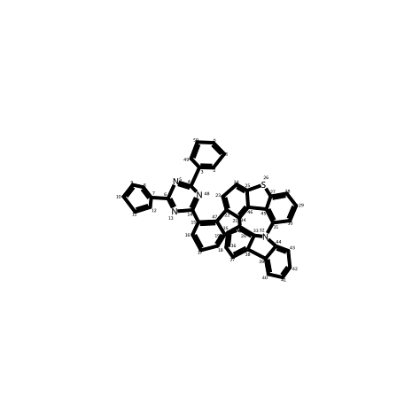 c1ccc(-c2nc(-c3ccccc3)nc(-c3cccc4oc5c(ccc6sc7cccc(-n8c9ccccc9c9ccccc98)c7c65)c34)n2)cc1